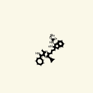 CCCC1(CCCc2nc(C)c(C(=N)C3CCCCCC3)nc2C2CC2)Cc2ccccc2[C@H]1NC(=O)OC(C)(C)C